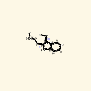 C/C=c1\c(=C/CNC)sc2ccccc12